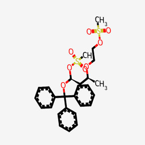 C[C@@H](C[C@@H](OC(c1ccccc1)(c1ccccc1)c1ccccc1)OS(C)(=O)=O)OCCOS(C)(=O)=O